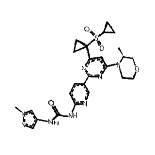 C[C@H]1COCCN1c1cc(C2(S(=O)(=O)C3CC3)CC2)nc(-c2ccc(NC(=O)Nc3cnn(C)c3)nc2)n1